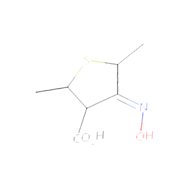 CC1SC(C)C(C(=O)O)C1=NO